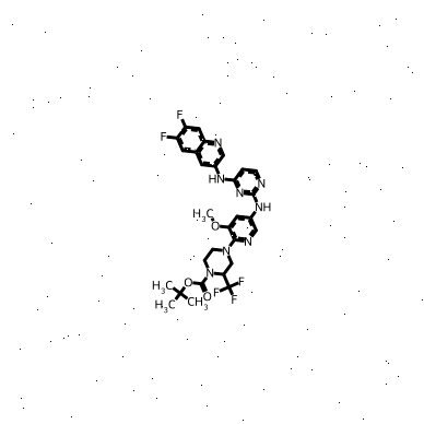 COc1cc(Nc2nccc(Nc3cnc4cc(F)c(F)cc4c3)n2)cnc1N1CCN(C(=O)OC(C)(C)C)C(C(F)(F)F)C1